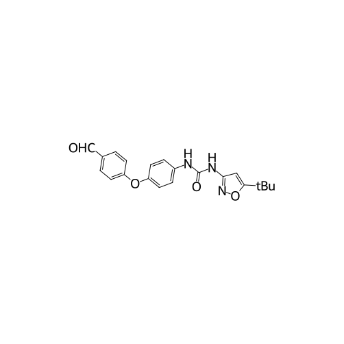 CC(C)(C)c1cc(NC(=O)Nc2ccc(Oc3ccc(C=O)cc3)cc2)no1